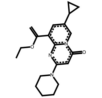 C=C(OCC)c1cc(C2CC2)cn2c(=O)cc(N3CCCCC3)nc12